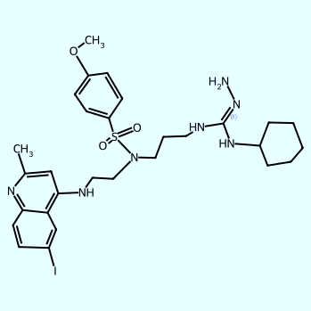 COc1ccc(S(=O)(=O)N(CCCN/C(=N\N)NC2CCCCC2)CCNc2cc(C)nc3ccc(I)cc23)cc1